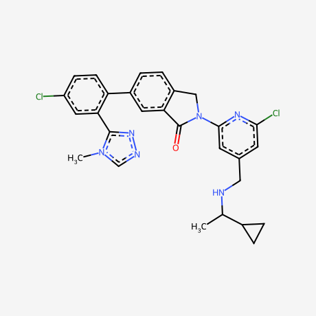 CC(NCc1cc(Cl)nc(N2Cc3ccc(-c4ccc(Cl)cc4-c4nncn4C)cc3C2=O)c1)C1CC1